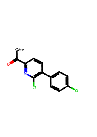 COC(=O)c1ccc(-c2ccc(Cl)cc2)c(Cl)n1